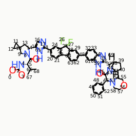 COC(=O)N[C@H](C(=O)N1CC2(CC2)C[C@H]1c1cnc(-c2ccc3c(c2)C(F)(F)c2cc(-c4ccc5nc([C@@H]6[C@H]7CC[C@H](C7)N6C(=O)[C@H](c6ccccc6)N6CCOCC6)[nH]c5c4)ccc2-3)[nH]1)C(C)C